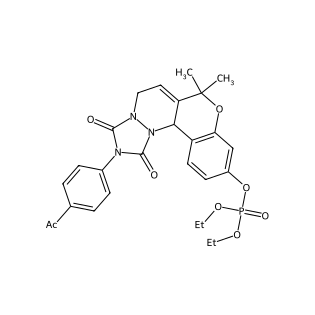 CCOP(=O)(OCC)Oc1ccc2c(c1)OC(C)(C)C1=CCn3c(=O)n(-c4ccc(C(C)=O)cc4)c(=O)n3C12